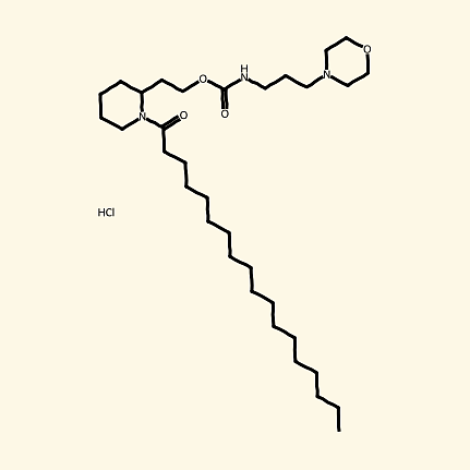 CCCCCCCCCCCCCCCCCC(=O)N1CCCCC1CCOC(=O)NCCCN1CCOCC1.Cl